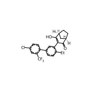 CCc1ccc(-c2ccc(Cl)cc2C(F)(F)F)cc1C1=C(O)[C@H]2CC[C@H](C2)C1=O